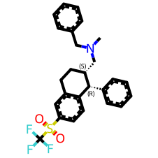 CN(Cc1ccccc1)C[C@H]1CCc2cc(S(=O)(=O)C(F)(F)F)ccc2[C@H]1c1ccccc1